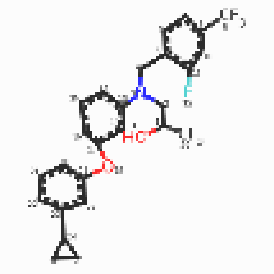 OC(CN(Cc1ccc(C(F)(F)F)cc1F)c1cccc(Oc2cccc(C3CC3)c2)c1)C(F)(F)F